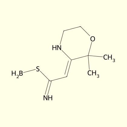 BSC(=N)/C=C1\NCCOC1(C)C